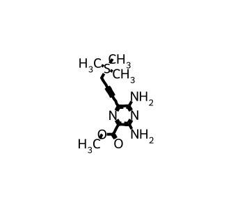 COC(=O)c1nc(C#CCS(C)(C)C)c(N)nc1N